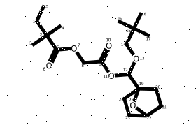 CCC(C)(C)C(=O)OCC(=O)OC(OCC(C)(C)C)C12CCC(CC1)O2